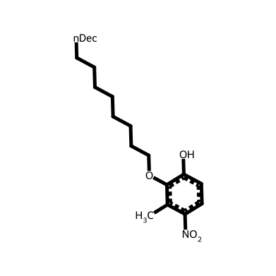 CCCCCCCCCCCCCCCCCCOc1c(O)ccc([N+](=O)[O-])c1C